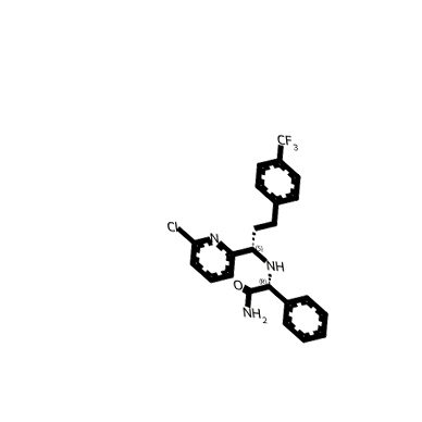 NC(=O)[C@H](N[C@@H](CCc1ccc(C(F)(F)F)cc1)c1cccc(Cl)n1)c1ccccc1